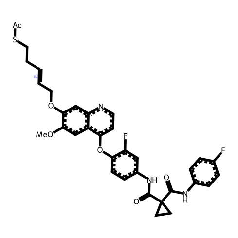 COc1cc2c(Oc3ccc(NC(=O)C4(C(=O)Nc5ccc(F)cc5)CC4)cc3F)ccnc2cc1OC/C=C/CCSC(C)=O